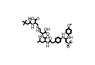 COc1ccc(NC(=C[N+](=O)[O-])Nc2ccc(CC(=O)NC(CC(C)C)C(=O)NC(CCNCC(NC(=O)CC(C)(C)C)C(=O)O)C(=O)O)cc2)cc1